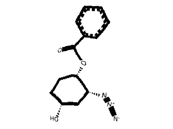 [N-]=[N+]=N[C@@H]1C[C@H](O)CC[C@@H]1OC(=O)c1ccccc1